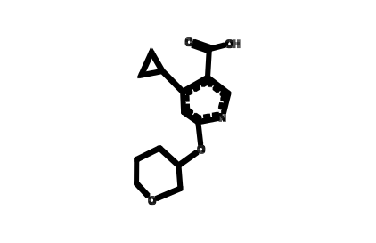 O=C(O)c1cnc(OC2CCCOC2)cc1C1CC1